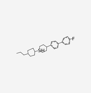 CCCC1CCC([SiH]2CCC(c3ccc(-c4ccc(F)cc4)cc3)CC2)CC1